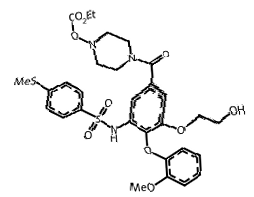 CCOC(=O)ON1CCN(C(=O)c2cc(NS(=O)(=O)c3ccc(SC)cc3)c(Oc3ccccc3OC)c(OCCO)c2)CC1